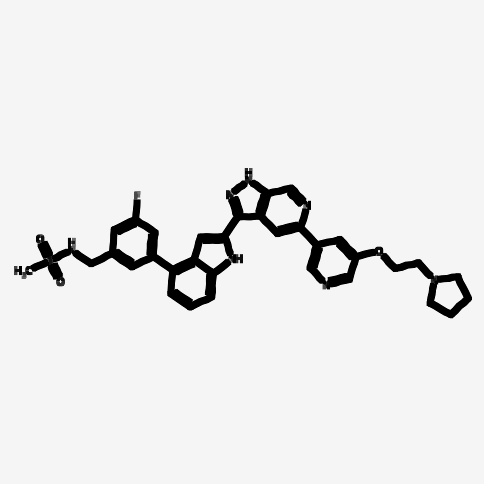 CS(=O)(=O)NCc1cc(F)cc(-c2cccc3[nH]c(-c4n[nH]c5cnc(-c6cncc(OCCN7CCCC7)c6)cc45)cc23)c1